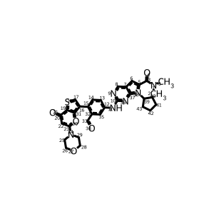 CN(C)C(=O)c1cc2cnc(Nc3ccc(-c4csc5c(=O)cc(N6CCOCC6)oc45)c(C=O)c3)nc2n1C1CCCC1